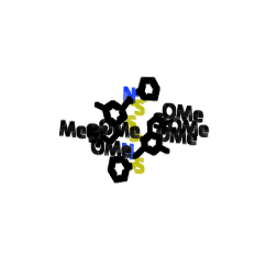 CO[Si](CCc1cc(C)cc(-c2nc3ccccc3s2)c1SSc1c(CC[Si](OC)(OC)OC)cc(C)cc1-c1nc2ccccc2s1)(OC)OC